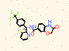 O=C1COc2cc(C(=O)N[C@@H](c3ccc(C(F)(F)F)cc3)c3ncccc3F)ccc2N1